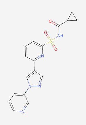 O=C(NS(=O)(=O)c1cccc(-c2cnn(-c3cccnc3)c2)n1)C1CC1